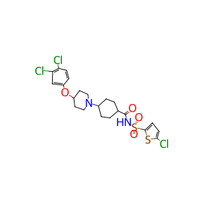 O=C(NS(=O)(=O)c1ccc(Cl)s1)C1CCC(N2CCC(Oc3ccc(Cl)c(Cl)c3)CC2)CC1